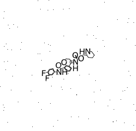 O=C(N[C@H]1CCOc2c(C(=O)Nc3ccc(F)c(F)c3)cccc21)OCC1CCCCN1